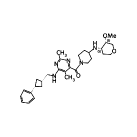 CO[C@@H]1COCC[C@@H]1NC1CCN(C(=O)c2nc(C)nc(NC[C@H]3C[C@@H](c4ccccc4)C3)c2C)CC1